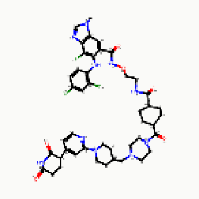 Cn1cnc2c(F)c(Nc3ccc(Br)cc3F)c(C(=O)NOCCNC(=O)C3CCC(C(=O)N4CCN(CC5CCN(c6cc(C7CCC(=O)NC7=O)ccn6)CC5)CC4)CC3)cc21